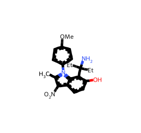 CCC(N)(CC)c1c(O)ccc2c([N+](=O)[O-])c(C)n(-c3ccc(OC)cc3)c12